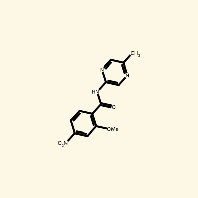 COc1cc([N+](=O)[O-])ccc1C(=O)Nc1cnc(C)cn1